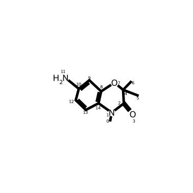 CN1C(=O)C(C)(C)Oc2cc(N)ccc21